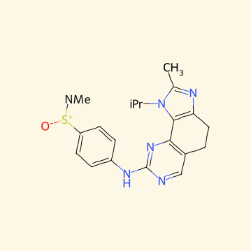 CN[S+]([O-])c1ccc(Nc2ncc3c(n2)-c2c(nc(C)n2C(C)C)CC3)cc1